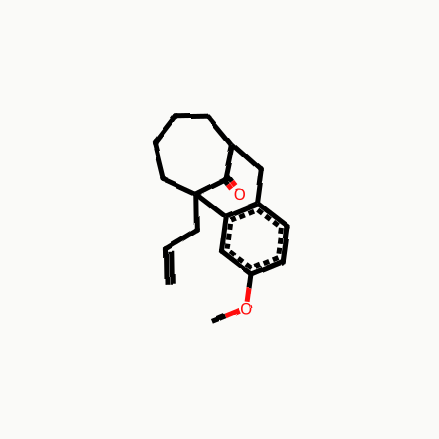 C=CCC12CCCCC(Cc3ccc(OC)cc31)C2=O